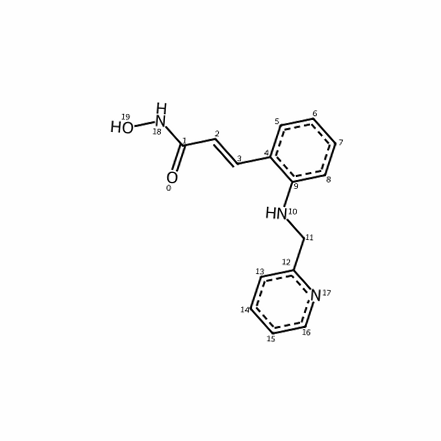 O=C(C=Cc1ccccc1NCc1ccccn1)NO